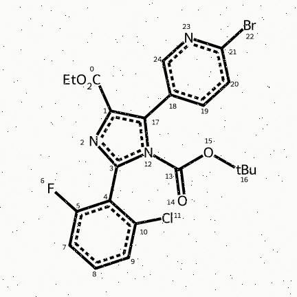 CCOC(=O)c1nc(-c2c(F)cccc2Cl)n(C(=O)OC(C)(C)C)c1-c1ccc(Br)nc1